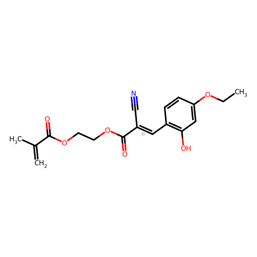 C=C(C)C(=O)OCCOC(=O)/C(C#N)=C/c1ccc(OCC)cc1O